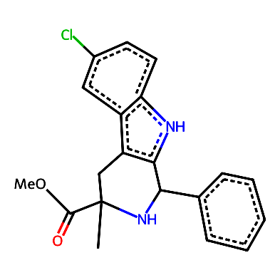 COC(=O)C1(C)Cc2c([nH]c3ccc(Cl)cc23)C(c2ccccc2)N1